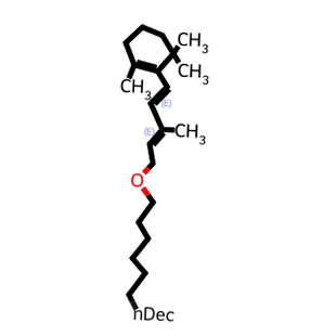 CCCCCCCCCCCCCCCCOC/C=C(C)/C=C/C1=C(C)CCCC1(C)C